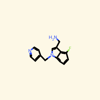 NCc1cn(Cc2ccncc2)c2cccc(F)c12